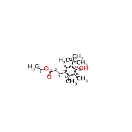 CCOC(=O)CCc1cc(C(C)(C)C)c(O)c(C)c1C